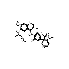 COCC(C)Oc1cc2c(Oc3c(F)cc(C4(C(N)=O)CN=CC=C4OC)cc3F)ccnc2cc1OC